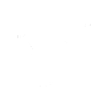 Cc1cc2cccc3c4cccc5cc(C)cc(c(c1)c23)c54